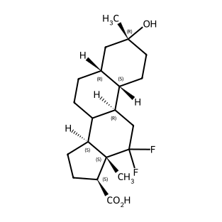 C[C@@]1(O)CC[C@H]2[C@H](CCC3[C@@H]2CC(F)(F)[C@]2(C)[C@@H](C(=O)O)CC[C@@H]32)C1